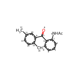 CC(=O)Nc1ccccc1C(=O)c1cc(C)ccc1C